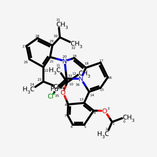 CC(C)Oc1cccc(OC(C)C)c1-c1cccc2cn(-c3c(C(C)C)cccc3C(C)C)[c](=[Pd][Cl])n12